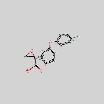 O=C(O)[C@@]1(c2cccc(Oc3ccc(Cl)cc3)c2)CO1